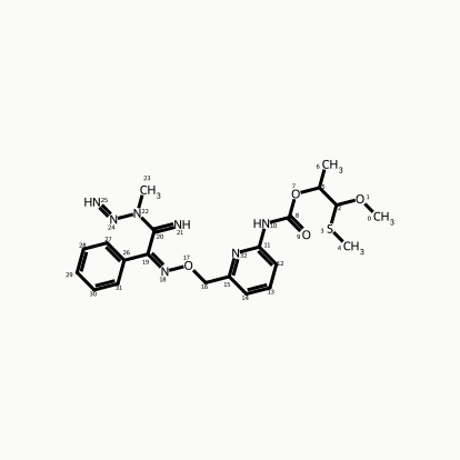 COC(SC)C(C)OC(=O)Nc1cccc(CO/N=C(\C(=N)N(C)N=N)c2ccccc2)n1